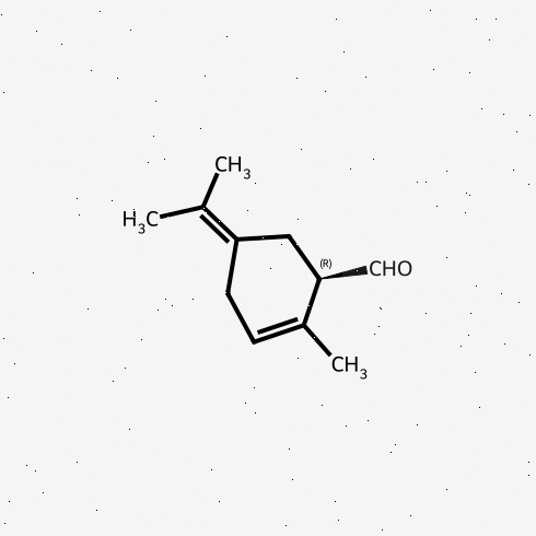 CC1=CCC(=C(C)C)C[C@H]1C=O